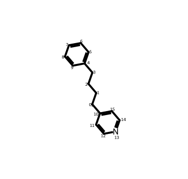 [CH](CCCc1ccccc1)c1ccncc1